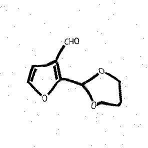 O=Cc1ccoc1C1OCCO1